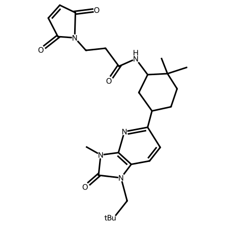 Cn1c(=O)n(CC(C)(C)C)c2ccc(C3CCC(C)(C)C(NC(=O)CCN4C(=O)C=CC4=O)C3)nc21